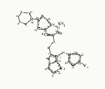 C[C@H](NC(=O)CCc1nc2cccnc2n1Cc1ccc(F)cc1)c1ccc(N2CCCCC2)cc1